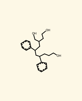 OCCCC(CC(CC(CO)CCO)c1ccccc1)c1ccccc1